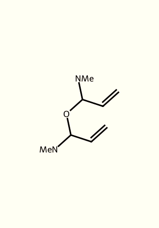 C=CC(NC)OC(C=C)NC